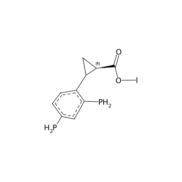 O=C(OI)[C@@H]1CC1c1ccc(P)cc1P